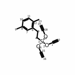 C#CO[Si](CCc1cc(C)ccc1C)(OC#C)OC#C